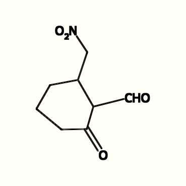 O=CC1C(=O)CCCC1C[N+](=O)[O-]